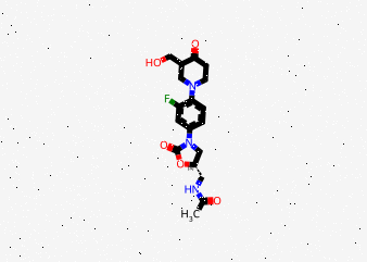 CC(=O)NC[C@H]1CN(c2ccc(N3CCC(=O)C(CO)C3)c(F)c2)C(=O)O1